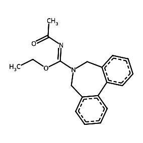 CCOC(=NC(C)=O)N1Cc2ccccc2-c2ccccc2C1